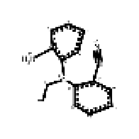 CCN(c1ccccc1N)c1ccccc1C#N